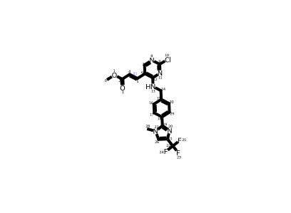 COC(=O)/C=C/c1cnc(Cl)nc1NCc1ccc(-c2nc(C(F)(F)F)cn2C)cc1